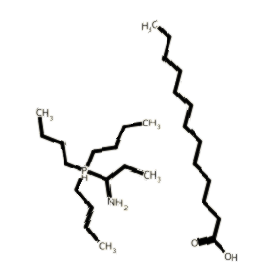 CCCCCCCCCCCCC(=O)O.CCCC[PH](CCCC)(CCCC)C(N)CC